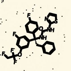 O=C(Nc1nccs1)N[C@](Cc1ccccc1)(c1ccc(F)cc1)c1cc(F)cc(OC(F)(F)CF)c1